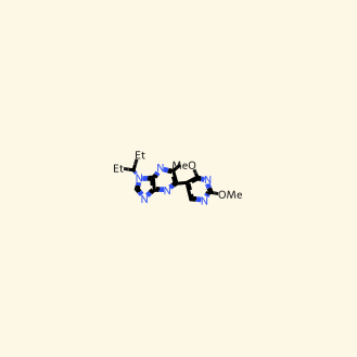 CCC(CC)n1cnc2nc(-c3cnc(OC)nc3OC)c(C)nc21